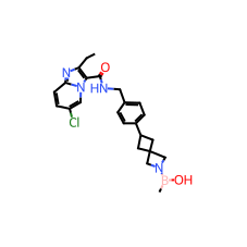 CCc1nc2ccc(Cl)cn2c1C(=O)NCc1ccc(C2CC3(C2)CN(B(C)O)C3)cc1